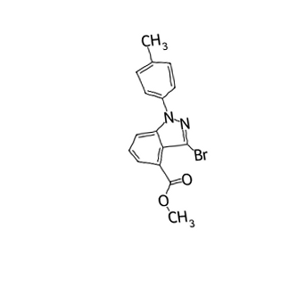 COC(=O)c1cccc2c1c(Br)nn2-c1ccc(C)cc1